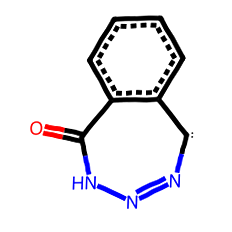 O=C1NN=N[C]c2ccccc21